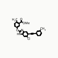 COC(=O)c1cc(Oc2nc3cc(C#Cc4cccc(C)c4)c(Cl)cc3[nH]2)ccc1C